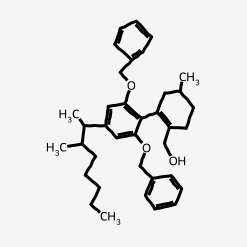 CCCCCC(C)C(C)c1cc(OCc2ccccc2)c(C2=C(CO)CCC(C)C2)c(OCc2ccccc2)c1